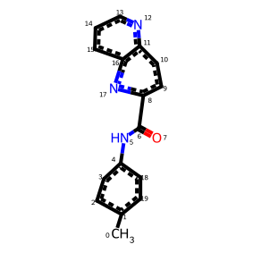 Cc1ccc(NC(=O)c2ccc3ncccc3n2)cc1